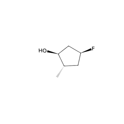 C[C@H]1C[C@H](F)C[C@@H]1O